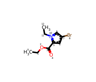 CCOC(=O)c1cc(Br)cn1CC